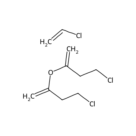 C=C(CCCl)OC(=C)CCCl.C=CCl